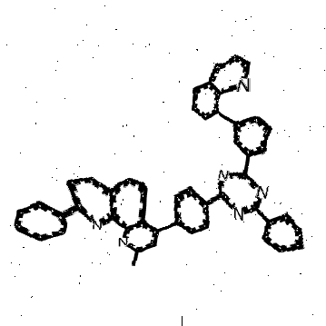 Cc1cc(-c2ccc(-c3nc(-c4ccccc4)nc(-c4cccc(-c5cccc6cccnc56)c4)n3)cc2)c2ccc3ccc(-c4ccccc4)nc3c2n1